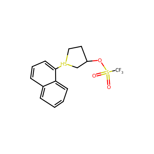 O=S(=O)(OC1CC[SH](c2cccc3ccccc23)C1)C(F)(F)F